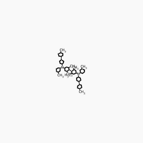 Cc1ccc(-c2ccc(N(c3cccc(C)c3)c3cc(C)c(-c4c(C)cc(N(c5ccc(-c6ccc(C)cc6)cc5)c5cccc(C)c5)cc4C)c(C)c3)cc2)cc1